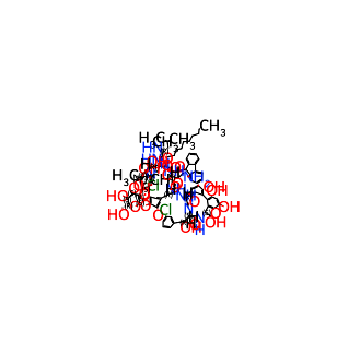 CCCCCCCCCCN(CC=N[C@@]1(C)C[C@H](O[C@H]2[C@H](Oc3c4cc5cc3Oc3ccc(cc3Cl)[C@@H](O)[C@@H]3NC(=O)[C@H](NC(=O)[C@@H]5NC(=O)[C@H](CC(N)=O)NC(=O)C(NC(=O)[C@@H](CC(C)C)NC)[C@H](O)c5ccc(c(Cl)c5)O4)c4ccc(O)c(c4)-c4c(O)cc(O)cc4[C@@H](C(=O)O)NC3=O)O[C@H](CO)[C@@H](O)[C@@H]2O)O[C@@H](C)[C@H]1O)C(=O)OCC1c2ccccc2-c2ccccc21